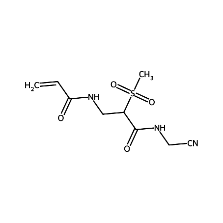 C=CC(=O)NCC(C(=O)NCC#N)S(C)(=O)=O